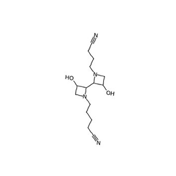 N#CCCCCN1CC(O)C1C1C(O)CN1CCCC#N